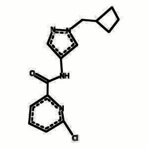 O=C(Nc1cnn(CC2CCC2)c1)c1cccc(Cl)n1